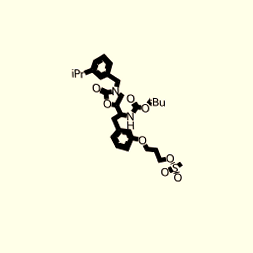 CC(C)c1cccc(CN2CC(C(Cc3cccc(OCCCOS(C)(=O)=O)c3)NC(=O)OC(C)(C)C)OC2=O)c1